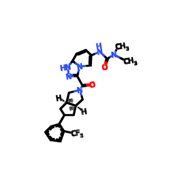 CN(C)C(=O)NC1=CN2C(C(=O)N3C[C@H]4CC(c5ccccc5C(F)(F)F)C[C@H]4C3)=NNC2C=C1